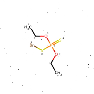 CCOP(=S)(OCC)SBr